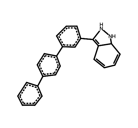 C1=CC2=C(c3cccc(-c4ccc(-c5ccccc5)cc4)c3)NNC2C=C1